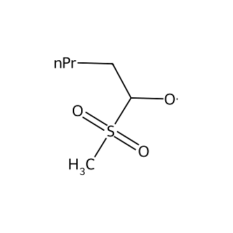 CCCCC([O])S(C)(=O)=O